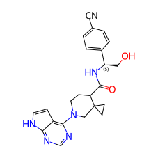 N#Cc1ccc([C@@H](CO)NC(=O)C2CCN(c3ncnc4[nH]ccc34)CC23CC3)cc1